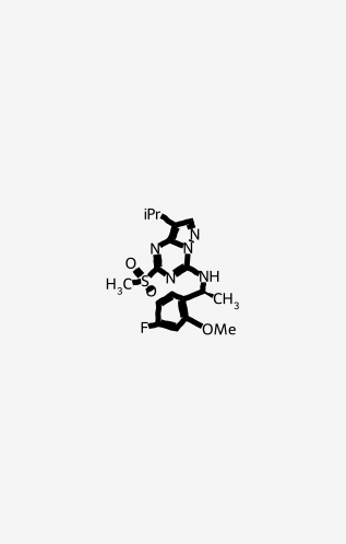 COc1cc(F)ccc1[C@H](C)Nc1nc(S(C)(=O)=O)nc2c(C(C)C)cnn12